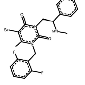 CN[C@@H](Cn1c(=O)c(Br)c(C)n(Cc2c(F)cccc2F)c1=O)c1ccccc1